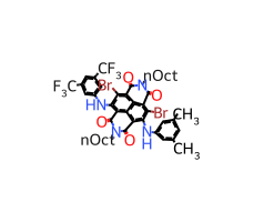 CCCCCCCCN1C(=O)c2c(Br)c(Nc3cc(C)cc(C)c3)c3c4c(c(Nc5cc(C(F)(F)F)cc(C(F)(F)F)c5)c(Br)c(c24)C1=O)C(=O)N(CCCCCCCC)C3=O